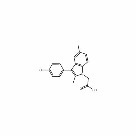 Cc1ccc2c(c1)c(-c1ccc(Cl)cc1)c(C)n2CC(=O)O